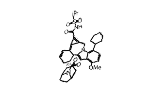 COc1ccc(C2CCCCC2)c2c1cc1n2CC2=C(C(=O)NS(=O)(=O)C(C)C)C2=C2C=CC[C@@H](C(=O)N3C4CCC3CC(=O)C4)C21